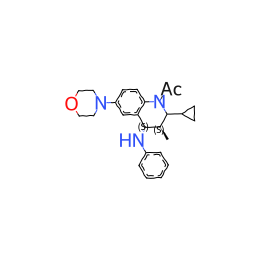 CC(=O)N1c2ccc(N3CCOCC3)cc2[C@@H](Nc2ccccc2)[C@H](C)C1C1CC1